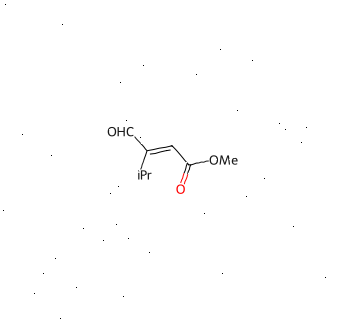 COC(=O)C=C(C=O)C(C)C